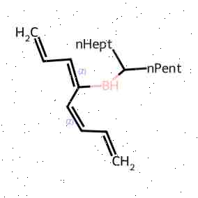 C=C/C=C\C(BC(CCCCC)CCCCCCC)=C/C=C